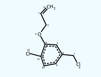 C=CCOc1cc(CCl)ccc1Cl